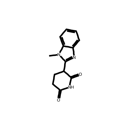 Cn1c(C2CCC(=O)NC2=O)nc2ccccc21